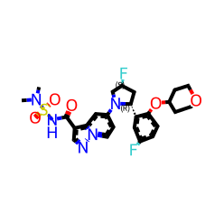 CN(C)S(=O)(=O)NC(=O)c1cnn2ccc(N3C[C@@H](F)C[C@@H]3c3cc(F)ccc3OC3CCOCC3)cc12